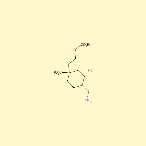 CCOC(=O)OCC[C@]1(C(=O)O)CC[C@H](CN)CC1.Cl